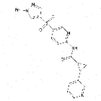 CC(C)n1cc(S(=O)(=O)c2ccc(NC(=O)C3CC3c3cccnc3)nc2)cn1